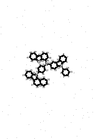 c1ccc(-n2c3ccccc3c3cc(N(c4ccc(-n5c6ccccc6c6ccc7ccccc7c65)cc4)c4cccc5c4oc4ccccc45)ccc32)cc1